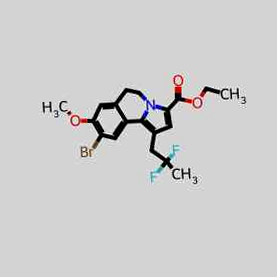 CCOC(=O)c1cc(CC(C)(F)F)c2n1CCc1cc(OC)c(Br)cc1-2